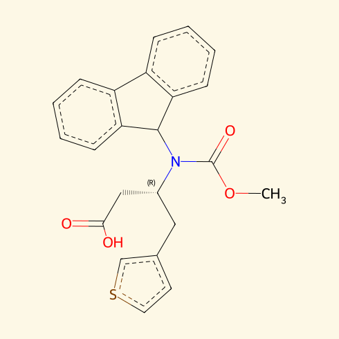 COC(=O)N(C1c2ccccc2-c2ccccc21)[C@@H](CC(=O)O)Cc1ccsc1